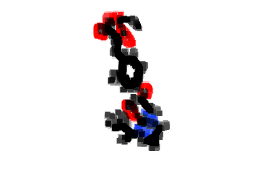 CCOC(Cc1ccc(OCCN(CC2CC2)C(=O)NC(C)CC)cc1)C(=O)O